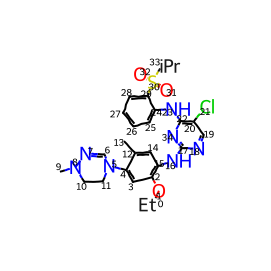 CCOc1cc(N2C=NN(C)CC2)c(C)cc1Nc1ncc(Cl)c(Nc2ccccc2S(=O)(=O)C(C)C)n1